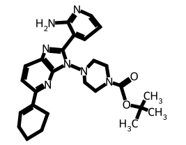 CC(C)(C)OC(=O)N1CCN(n2c(-c3cccnc3N)nc3ccc(C4=CCCCC4)nc32)CC1